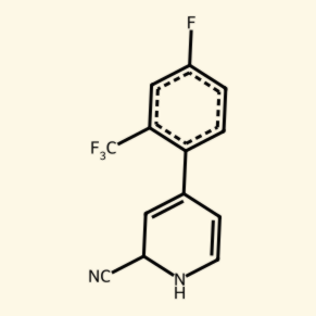 N#CC1C=C(c2ccc(F)cc2C(F)(F)F)C=CN1